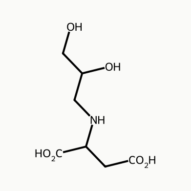 O=C(O)CC(NCC(O)CO)C(=O)O